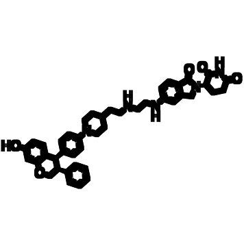 O=C1CC[C@H](N2Cc3cc(NCCNCCC4CCN(c5ccc([C@@H]6c7ccc(O)cc7OC[C@@H]6c6ccccc6)cc5)CC4)ccc3C2=O)C(=O)N1